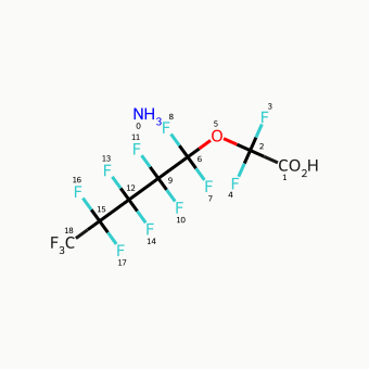 N.O=C(O)C(F)(F)OC(F)(F)C(F)(F)C(F)(F)C(F)(F)C(F)(F)F